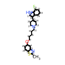 Cc1nc2cc(OCCCCCN3CC=C(c4c[nH]c5c(F)cccc45)CC3)ccc2s1